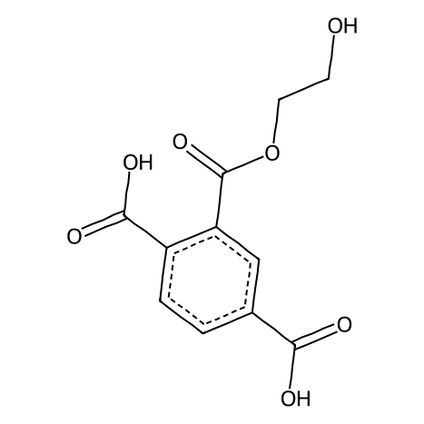 O=C(O)c1ccc(C(=O)O)c(C(=O)OCCO)c1